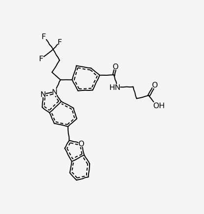 O=C(O)CCNC(=O)c1ccc(C(CCC(F)(F)F)n2ncc3cc(-c4cc5ccccc5o4)ccc32)cc1